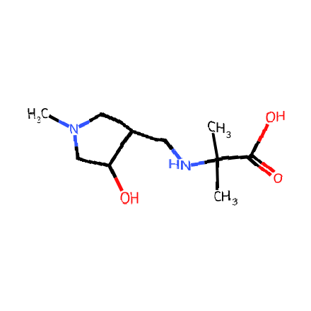 CN1CC(O)C(CNC(C)(C)C(=O)O)C1